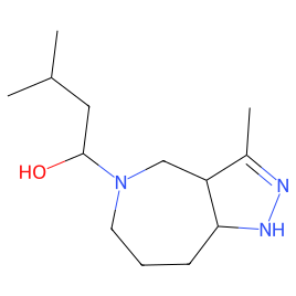 CC1=NNC2CCCN(C(O)CC(C)C)CC12